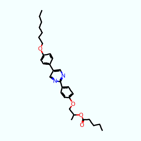 CCCCCCCOc1ccc(-c2cnc(-c3ccc(OCC(C)OC(=O)CCCC)cc3)nc2)cc1